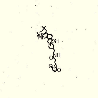 CC(C)(C)Cc1c(SC(C)(C)C)[nH]c2c(CN3CCC(CCNC(=O)CCCN4C(=O)C=CC4=O)CC3)c(O)ccc12